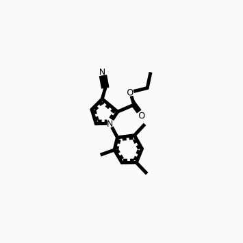 CCOC(=O)c1c(C#N)ccn1-c1c(C)cc(C)cc1C